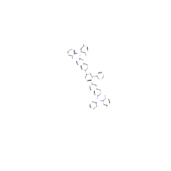 Cc1ccc(C)c(N(c2ccc3cc4c(cc3c2)oc2c(-c3ccccc3)c3c(cc24)oc2cc4cc(N(c5ccccc5C)c5cc(C)ccc5C)ccc4cc23)c2ccccc2C)c1